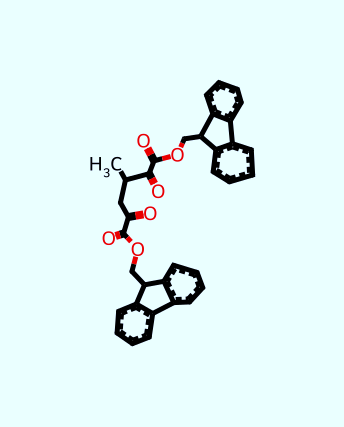 CC(CC(=O)C(=O)OCC1c2ccccc2-c2ccccc21)C(=O)C(=O)OCC1c2ccccc2-c2ccccc21